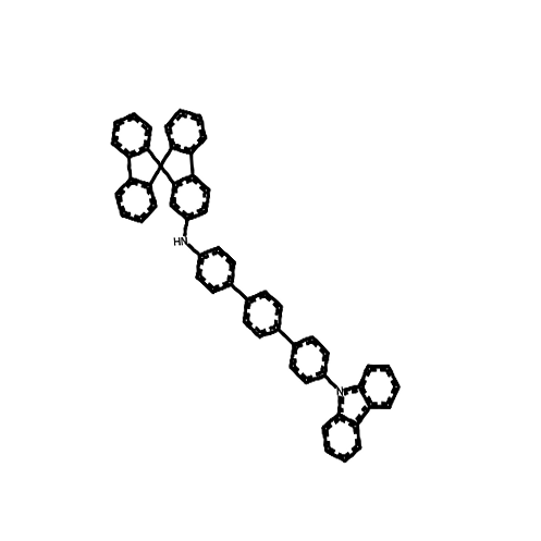 c1ccc2c(c1)-c1ccccc1C21c2ccccc2-c2ccc(Nc3ccc(-c4ccc(-c5ccc(-n6c7ccccc7c7ccccc76)cc5)cc4)cc3)cc21